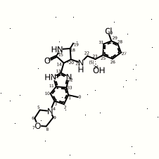 Cc1cc(N2CCOCC2)cc2[nH]c(C3C(=O)NC(C)C3NC[C@@H](O)c3cccc(Cl)c3)nc12